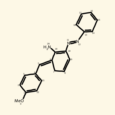 COc1ccc(C=C2CC=CC(N=Nc3ccccc3)=C2N)cc1